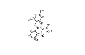 O=C(O)c1cn(Cc2c(F)cc(F)cc2F)c2cccc(F)c2c1=O